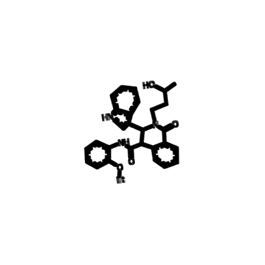 CCOc1ccccc1NC(=O)C1c2ccccc2C(=O)N(CCC(C)O)C1c1c[nH]c2ccccc12